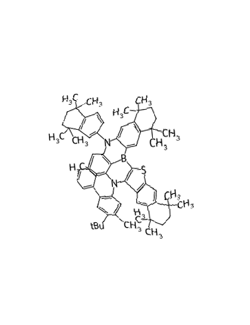 Cc1cc2c3c(c1)N(c1cc(C)c(C(C)(C)C)cc1-c1ccccc1)c1c(sc4cc5c(cc14)C(C)(C)CCC5(C)C)B3c1cc3c(cc1N2c1ccc2c(c1)C(C)(C)CCC2(C)C)C(C)(C)CCC3(C)C